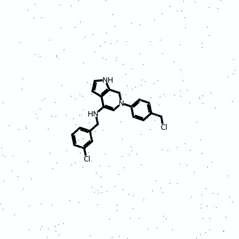 ClCc1ccc(N2C=C(NCc3cccc(Cl)c3)c3cc[nH]c3C2)cc1